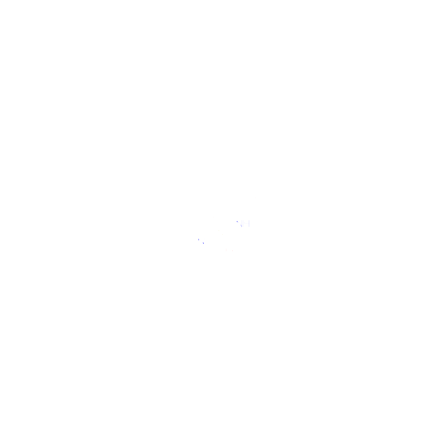 [NH]S(=O)(=O)NC=O